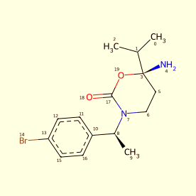 CC(C)[C@]1(N)CCN([C@@H](C)c2ccc(Br)cc2)C(=O)O1